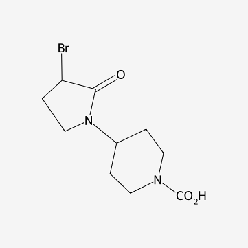 O=C(O)N1CCC(N2CCC(Br)C2=O)CC1